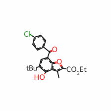 CCOC(=O)c1oc2c(C(=O)c3ccc(Cl)cc3)cc(C(C)(C)C)c(O)c2c1C